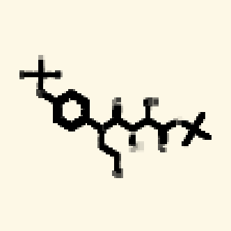 CC(C)(C)OC(=O)[C@H](O)[C@@H](O)C(=O)N(CCCl)c1ccc(OC(F)(F)F)cc1